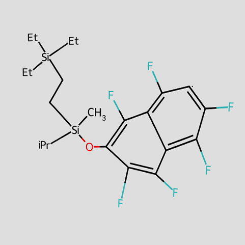 CC[Si](CC)(CC)CC[Si](C)(Oc1c(F)c(F)c2c(F)c(F)[c]c(F)c2c1F)C(C)C